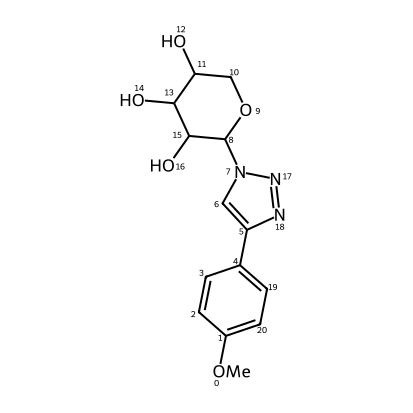 COc1ccc(-c2cn(C3OCC(O)C(O)C3O)nn2)cc1